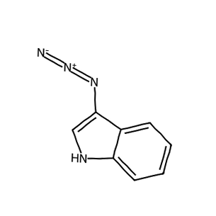 [N-]=[N+]=Nc1c[nH]c2ccccc12